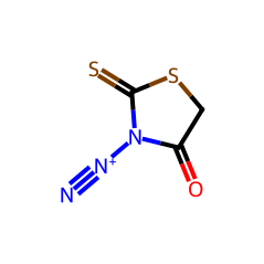 N#[N+]N1C(=O)CSC1=S